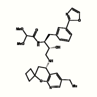 COC(OC)C(=O)N[C@@H](Cc1cccc(-c2ncco2)c1)[C@H](O)CN[C@H]1CC2(CCC2)Oc2ncc(CC(C)(C)C)cc21